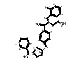 O=C(c1ccc(C[C@@H]2CC[C@H](C(O)c3cccnc3)N2)cc1)N(CCO)Cc1cccnc1F